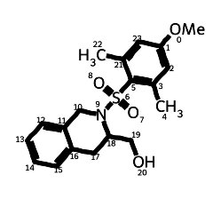 COc1cc(C)c(S(=O)(=O)N2Cc3ccccc3CC2CO)c(C)c1